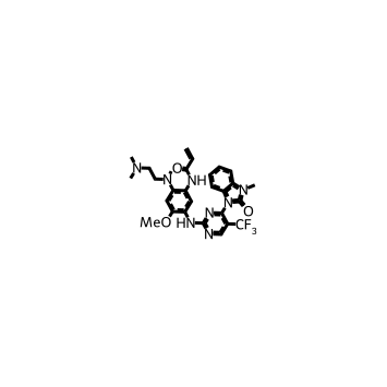 C=CC(=O)Nc1cc(Nc2ncc(C(F)(F)F)c(-n3c(=O)n(C)c4ccccc43)n2)c(OC)cc1N(C)CCN(C)C